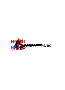 CCCCCCCCCCCCCCCCCCCCCCCCCC(=O)N[C@@H](CO[C@H]1OC(CN2C=C(CO)NN2)[C@H](O)C(O)[C@H]1O)[C@H](O)[C@@H](C)O